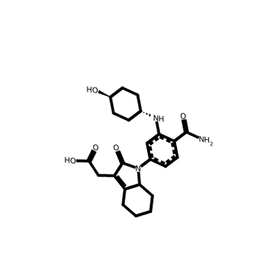 NC(=O)c1ccc(N2C(=O)C(CC(=O)O)=C3CCCCC32)cc1N[C@H]1CC[C@H](O)CC1